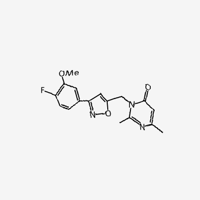 COc1cc(-c2cc(Cn3c(C)nc(C)cc3=O)on2)ccc1F